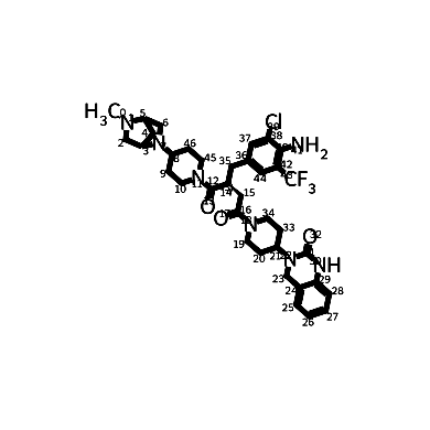 CN1CC2CC1CN2C1CCN(C(=O)[C@H](CC(=O)N2CCC(N3Cc4ccccc4NC3=O)CC2)Cc2cc(Cl)c(N)c(C(F)(F)F)c2)CC1